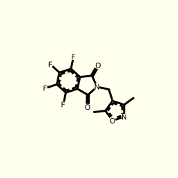 Cc1noc(C)c1CN1C(=O)c2c(F)c(F)c(F)c(F)c2C1=O